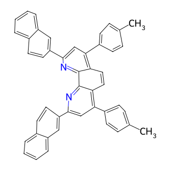 Cc1ccc(-c2cc(-c3ccc4ccccc4c3)nc3c2ccc2c(-c4ccc(C)cc4)cc(-c4ccc5ccccc5c4)nc23)cc1